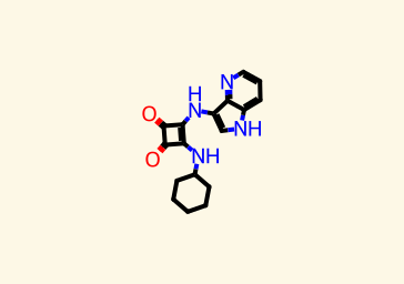 O=c1c(Nc2c[nH]c3cccnc23)c(NC2CCCCC2)c1=O